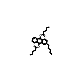 CCCCCc1ccc2c(OC(=O)CCCC)c3ccccc3c(OC(=O)CCCC)c2c1